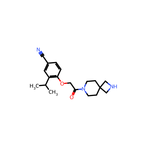 CC(C)c1cc(C#N)ccc1OCC(=O)N1CCC2(CC1)CNC2